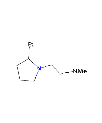 CCC1CCCN1CCNC